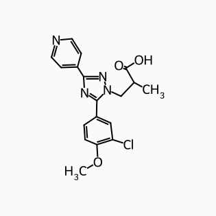 COc1ccc(-c2nc(-c3ccncc3)nn2CC(C)C(=O)O)cc1Cl